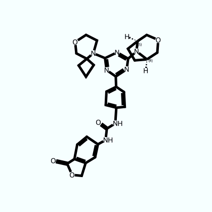 O=C(Nc1ccc(-c2nc(N3[C@@H]4CC[C@H]3COC4)nc(N3CCOCC34CCC4)n2)cc1)Nc1ccc2c(c1)COC2=O